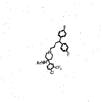 CC(=O)NC1(c2ccc(Cl)c(C(F)(F)F)c2)CCN(CCCC(c2ccc(F)cc2)c2ccc(F)cc2)CC1